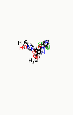 CCC(O)N1CCN(c2cc3c(C(=O)Nc4c(Cl)cncc4Cl)ccc(C(=O)OC)c3o2)CC1